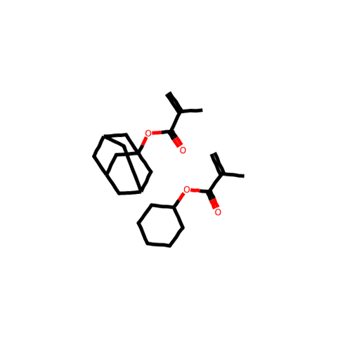 C=C(C)C(=O)OC12CC3CC(CC(C3)C1)C2.C=C(C)C(=O)OC1CCCCC1